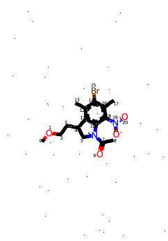 COCCC1CN(C(C)=O)c2c1c(C)c(Br)c(C)c2[N+](=O)[O-]